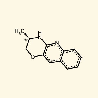 C[C@@H]1COc2cc3cc[c]cc3nc2N1